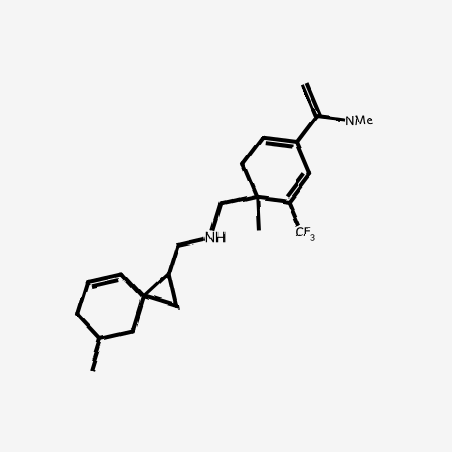 C=C(NC)C1=CCC(C)(CNCC2CC23C=CCC(C)C3)C(C(F)(F)F)=C1